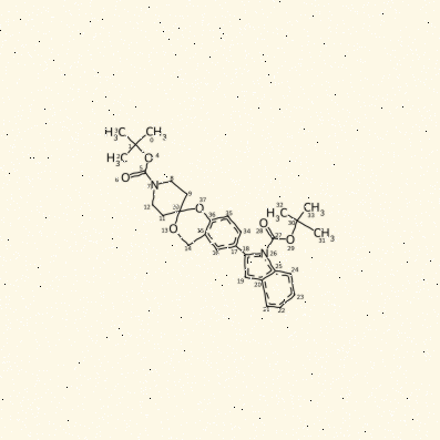 CC(C)(C)OC(=O)N1CCC2(CC1)OCc1cc(-c3cc4ccccc4n3C(=O)OC(C)(C)C)ccc1O2